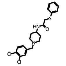 O=C(CSc1ccccc1)NC1CCN(Cc2ccc(Cl)c(Cl)c2)CC1